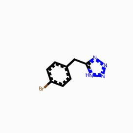 Brc1ccc([CH]c2nnn[nH]2)cc1